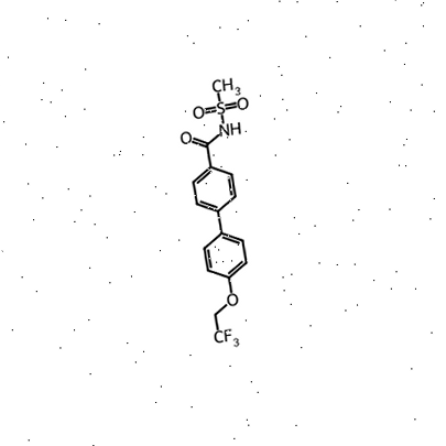 CS(=O)(=O)NC(=O)c1ccc(-c2ccc(OCC(F)(F)F)cc2)cc1